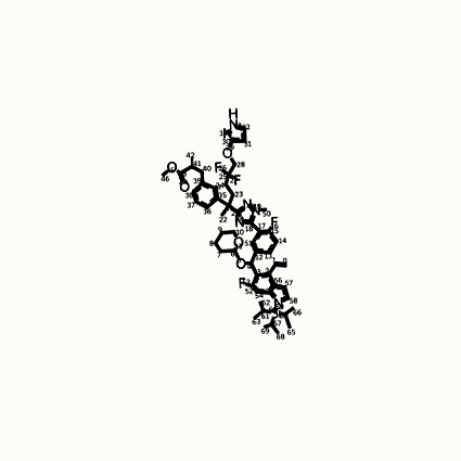 C=Cc1c(C(OC2CCCCO2)c2ccc(F)c(-c3nc(C(C)(CCC(F)(F)COc4cc[nH]n4)c4cccc(C[C@H](C)C(=O)OC)c4)nn3C)c2)c(F)cc2c1ccn2[Si](C(C)C)(C(C)C)C(C)C